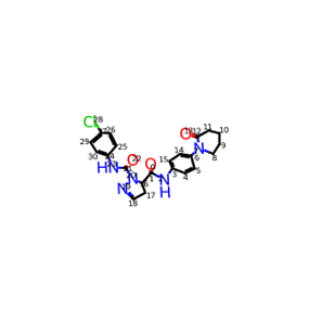 O=C(Nc1ccc(N2CCCCC2=O)cc1)C1CC=NN1C(=O)Nc1ccc(Cl)cc1